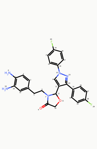 Nc1ccc(CCN2C(=O)COC2c2cn(-c3ccc(F)cc3)nc2-c2ccc(F)cc2)cc1N